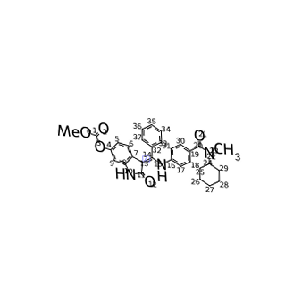 COC(=O)Oc1ccc2c(c1)NC(=O)/C2=C(\Nc1ccc(C(=O)N(C)C2CCCCC2)cc1)c1ccccc1